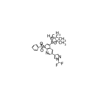 CC1(C)OB(c2cn(S(=O)(=O)c3ccccc3)c3ncc(-c4cnn(C(F)F)c4)cc23)OC1(C)C